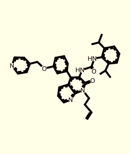 C=CCCn1c(=O)c(NC(=O)Nc2c(C(C)C)cccc2C(C)C)c(-c2cccc(OCc3ccncc3)c2)c2cccnc21